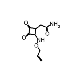 C=CCON[C]1C(=O)C(=O)C1CC(N)=O